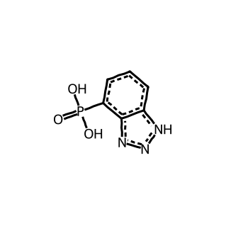 O=P(O)(O)c1cccc2[nH]nnc12